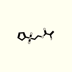 C=C(F)C(=O)OCCS(=O)(=O)C1=CC=CC1